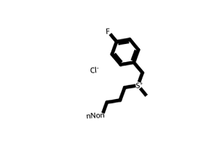 CCCCCCCCCCCC[S+](C)Cc1ccc(F)cc1.[Cl-]